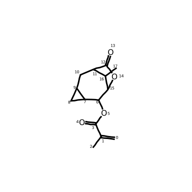 C=C(C)C(=O)OC1C2CC2CC2C(=O)OC1C2C